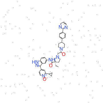 CC[C@@]1(C(=O)Nc2ccc3[nH]nc(-c4cc[n+]([O-])c(C5CC5)c4)c3c2)CCN(CC(=O)N2CCC(c3ccc(-c4ncccn4)cc3)CC2)C1